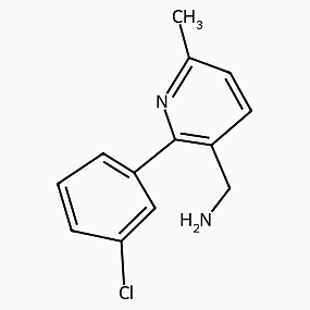 Cc1ccc(CN)c(-c2cccc(Cl)c2)n1